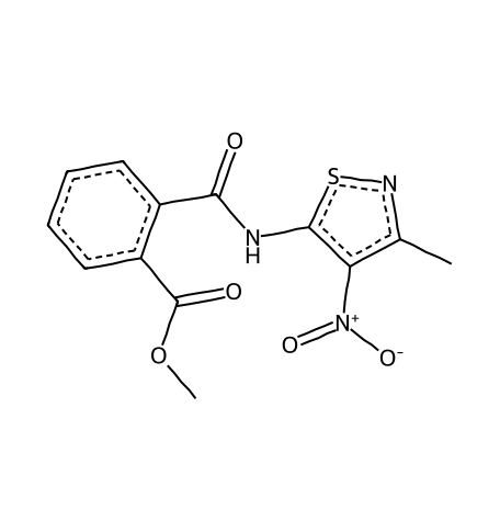 COC(=O)c1ccccc1C(=O)Nc1snc(C)c1[N+](=O)[O-]